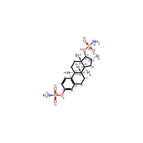 CC[C@]12CC[C@@H]3c4ccc(OS(N)(=O)=O)cc4CC[C@H]3[C@@H]1C[C@@H](Br)[C@@H]2OS(N)(=O)=O